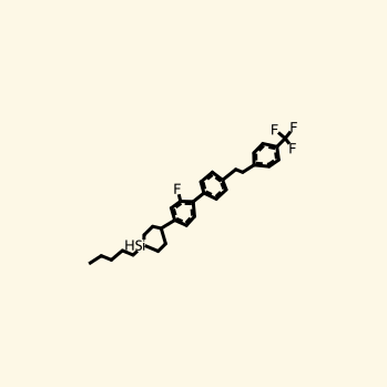 CCCCC[SiH]1CCC(c2ccc(-c3ccc(CCc4ccc(C(F)(F)F)cc4)cc3)c(F)c2)CC1